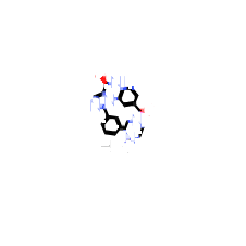 CN1CCN(C(=O)c2ccc3[nH]c(=O)c4cnc(-c5ccccc5)n4c3c2)CC1